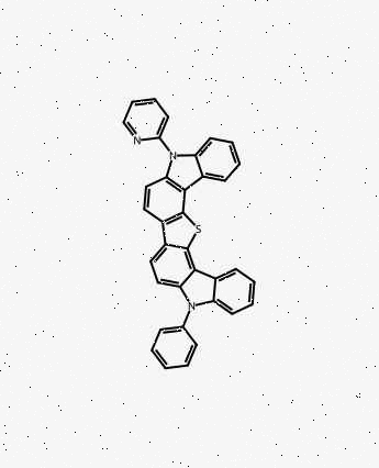 c1ccc(-n2c3ccccc3c3c4sc5c(ccc6c5c5ccccc5n6-c5ccccn5)c4ccc32)cc1